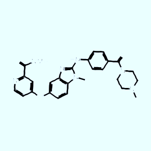 CNC(=O)c1cc(Oc2ccc3c(c2)nc(Nc2ccc(C(=O)N4CCN(C)CC4)cc2)n3C)ccn1